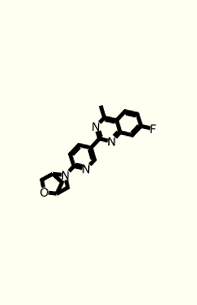 Cc1nc(-c2ccc(N3CC4CC3CO4)nc2)nc2cc(F)ccc12